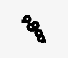 C1CC(C2CCC3(CCNCC3)CC2)C2NCCC(C3CSCCN3)C2C1